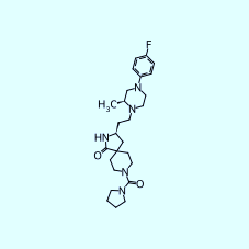 C[C@H]1CN(c2ccc(F)cc2)CCN1CC[C@H]1CC2(CCN(C(=O)N3CCCC3)CC2)C(=O)N1